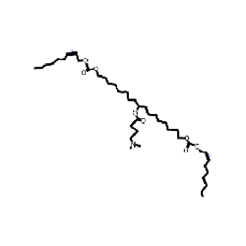 CCCCCC/C=C\COC(=O)OCCCCCCCCC(CCCCCCCCOC(=O)OC/C=C\CCCCCC)OC(=O)CCCN(C)C